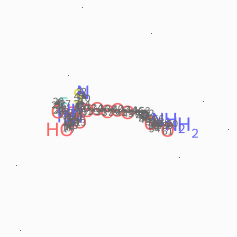 Cc1ncsc1-c1ccc(CNC(=O)[C@@H]2C[C@@H](O)CN2C(=O)CNC(=O)C2(F)CC2)c(OCCOCCOCCOCCOCCCc2ccc(CO[C@H](C)[C@@H](N)CCC(N)=O)cc2)c1